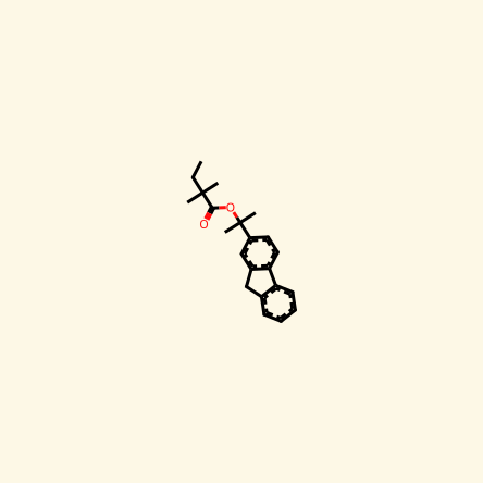 CCC(C)(C)C(=O)OC(C)(C)c1ccc2c(c1)Cc1ccccc1-2